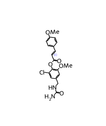 COc1ccc(/C=C/C(=O)Oc2c(Cl)cc(CNC(N)=O)cc2OC)cc1